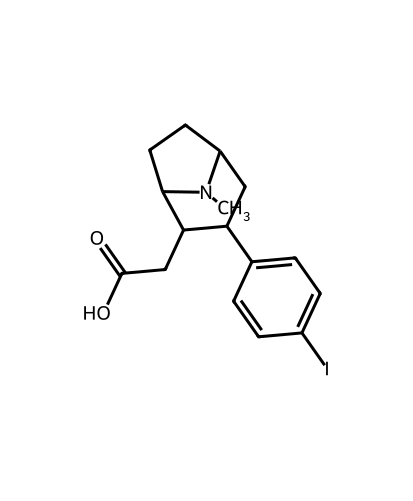 CN1C2CCC1C(CC(=O)O)C(c1ccc(I)cc1)C2